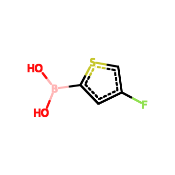 OB(O)c1cc(F)cs1